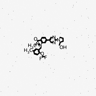 Cc1ccc(OC(F)F)c(Cn2c3cc(-c4cnc(N5CCCC5CO)nc4)ccc3c(=O)n2C)c1